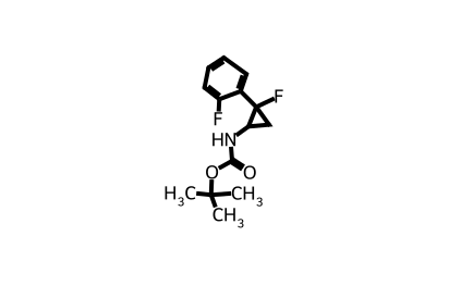 CC(C)(C)OC(=O)NC1CC1(F)c1ccccc1F